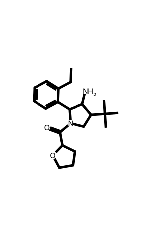 CCc1ccccc1C1C(N)C(C(C)(C)C)CN1C(=O)C1CCCO1